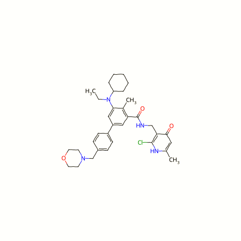 CCN(c1cc(-c2ccc(CN3CCOCC3)cc2)cc(C(=O)NCc2c(Cl)[nH]c(C)cc2=O)c1C)C1CCCCC1